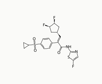 O=C(Nc1ncc(F)s1)/C(=C/[C@H]1C[C@@H](F)[C@@H](F)C1)c1ccc(S(=O)(=O)C2CC2)cc1